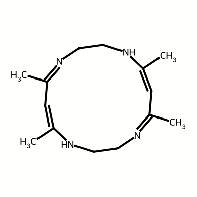 CC1=CC(C)=NCCNC(C)=CC(C)=NCCN1